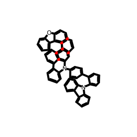 c1ccc(-c2cccc(-c3ccccc3N(c3ccc(-c4ccccc4-n4c5ccccc5c5ccccc54)cc3)c3ccc(-c4cccc5oc6ccccc6c45)cc3)c2)cc1